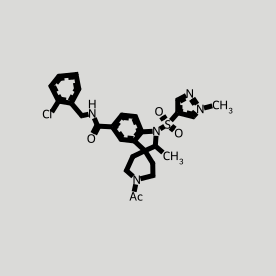 CC(=O)N1CCC2(CC1)c1cc(C(=O)NCc3ccccc3Cl)ccc1N(S(=O)(=O)c1cnn(C)c1)C2C